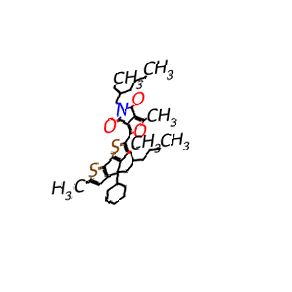 CCCCC(CC)CN1C(=O)c2c(C)oc(-c3cc4c(s3)-c3sc(C)cc3C4(CC(CC)CCCC)C3CCCCC3)c2C1=O